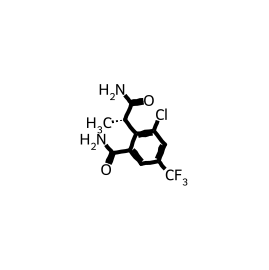 C[C@H](C(N)=O)c1c(Cl)cc(C(F)(F)F)cc1C(N)=O